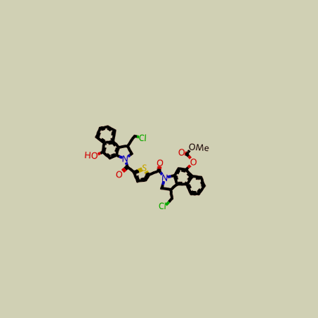 COC(=O)Oc1cc2c(c3ccccc13)C(CCl)CN2C(=O)c1ccc(C(=O)N2CC(CCl)c3c2cc(O)c2ccccc32)s1